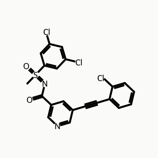 CS(=O)(=NC(=O)c1cncc(C#Cc2ccccc2Cl)c1)c1cc(Cl)cc(Cl)c1